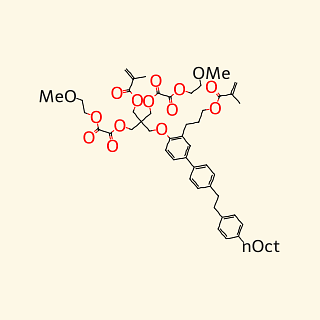 C=C(C)C(=O)OCCCc1cc(-c2ccc(CCc3ccc(CCCCCCCC)cc3)cc2)ccc1OCC(COC(=O)C(=C)C)(COC(=O)C(=O)OCCOC)COC(=O)C(=O)OCCOC